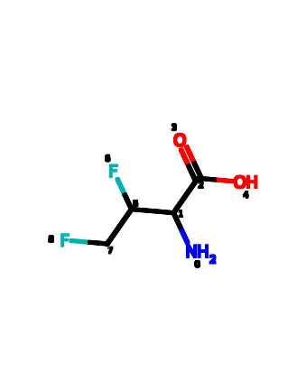 NC(C(=O)O)C(F)CF